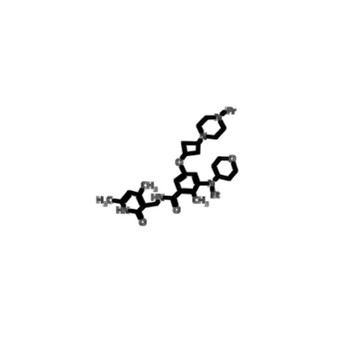 CCN(c1cc(OC2CC(N3CCN(C(C)C)CC3)C2)cc(C(=O)NCc2c(C)cc(C)[nH]c2=O)c1C)C1CCOCC1